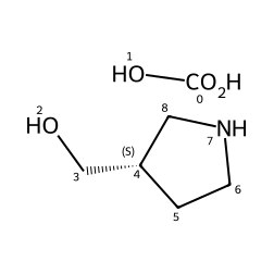 O=C(O)O.OC[C@H]1CCNC1